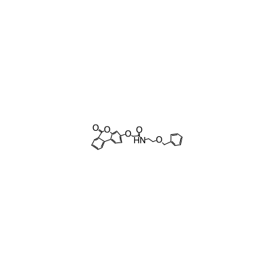 O=C(COc1ccc2c(c1)oc(=O)c1ccccc12)NCCOCc1ccccc1